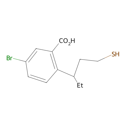 CCC(CCS)c1ccc(Br)cc1C(=O)O